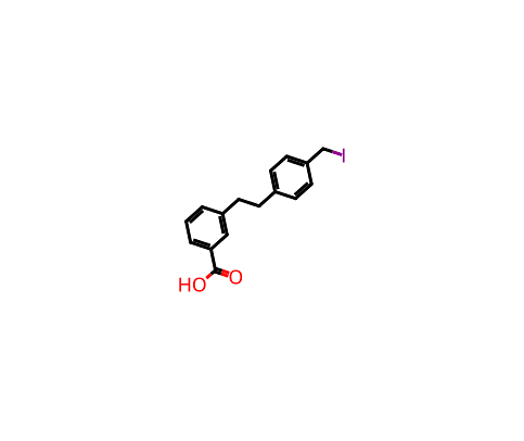 O=C(O)c1cccc(CCc2ccc(CI)cc2)c1